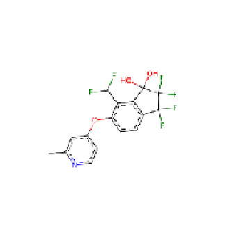 Cc1cc(Oc2ccc3c(c2C(F)F)C(O)(O)C(F)(F)C3(F)F)ccn1